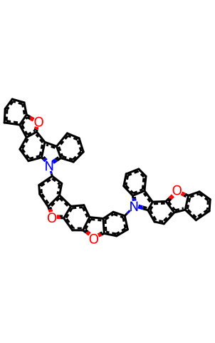 c1ccc2c(c1)oc1c2ccc2c1c1ccccc1n2-c1ccc2oc3cc4oc5ccc(-n6c7ccccc7c7c8oc9ccccc9c8ccc76)cc5c4cc3c2c1